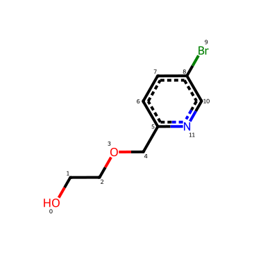 OCCOCc1ccc(Br)cn1